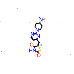 CN(C)C1CCN(c2nccc(/C=C3/SC(=O)NC3=O)n2)CC1